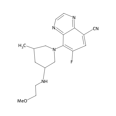 COCCNC1CC(C)CN(c2c(F)cc(C#N)c3nccnc23)C1